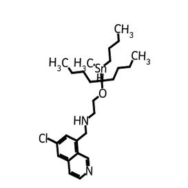 CCC[CH2][SnH]([CH3])[C](CCCC)(CCCC)OCCNCc1cc(Cl)cc2ccncc12